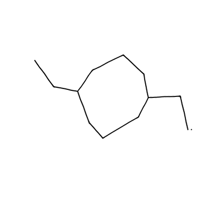 [CH2]CC1CCCC(CC)CCC1